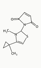 CN1C(C2(C)CC2)=CSC1N1C(=O)C=CC1=O